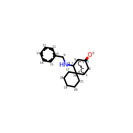 O=C1CC2CCC1C(NCc1ccccc1)C21CCCCC1